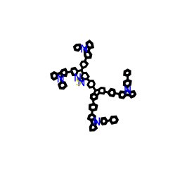 C1=CC(C(C2CC=C(c3ccc4c5ccccc5n(-c5ccccc5)c4c3)CC2)C2CCC(C3CCC(C4c5ccc(-c6ccc(-c7ccc8c9ccccc9n(-c9ccc(-c%10ccccc%10)cc9)c8c7)cc6)cc5C5CC(c6ccc(-c7ccc8c9ccccc9n(-c9ccc(-c%10ccccc%10)cc9)c8c7)cc6)CCC54)CC3)c3nsnc32)CC=C1c1ccc2c3ccccc3n(-c3ccccc3)c2c1